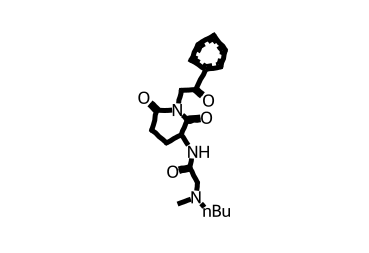 CCCCN(C)CC(=O)NC1CCC(=O)N(CC(=O)c2ccccc2)C1=O